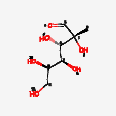 C[C@](O)(C=O)[C@@H](O)[C@@H](O)[C@H](O)CO